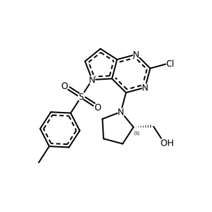 Cc1ccc(S(=O)(=O)n2ccc3nc(Cl)nc(N4CCC[C@H]4CO)c32)cc1